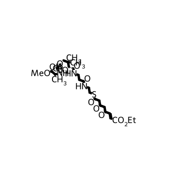 CCOC(=O)/C=C/C(=O)CC(=O)CC(=O)SCCNC(=O)CCNC(=O)[C@@H]1OP(=O)(N[C@@H](C)C(O)OC)OCC1(C)C